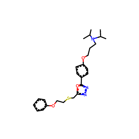 CC(C)N(CCCOc1ccc(-c2nnc(CSCCOc3ccccc3)o2)cc1)C(C)C